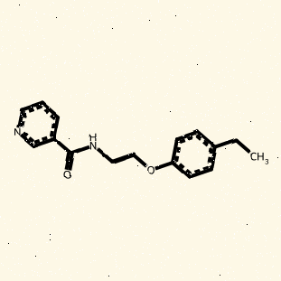 CCc1ccc(OCCNC(=O)c2cccnc2)cc1